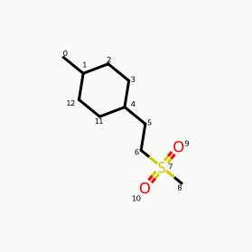 CC1CCC(CCS(C)(=O)=O)CC1